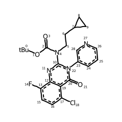 CC(C)(C)OC(=O)N(CCC1CC1)c1nc2c(F)ccc(Cl)c2c(=O)n1-c1cccnc1